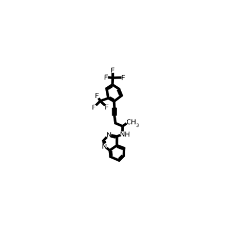 CC(CC#Cc1ccc(C(F)(F)F)cc1C(F)(F)F)Nc1ncnc2ccccc12